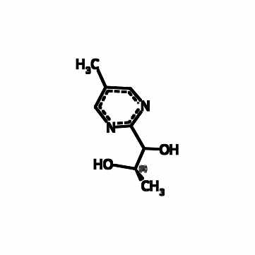 Cc1cnc(C(O)[C@@H](C)O)nc1